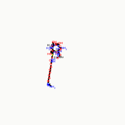 CCC(=O)N[C@H](C(=O)NCC(=O)N[C@H]1C[S+]([O-])c2[nH]c3c(CSCCCCNC(=O)NCCOCCOCCOCCOCCOCCOCCOCCn4cc(CN)nn4)c(O)ccc3c2C[C@@H](C(N)=O)NC(=O)[C@H]([C@@H](C)[C@@H](O)CO)NC(=O)[C@@H]2C[C@@H](O)CN2C(=O)[C@H](CC(N)=O)NC1=O)[C@@H](C)CC